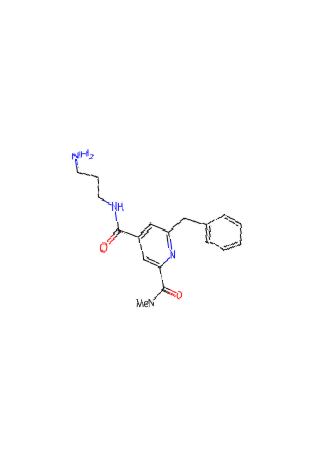 CNC(=O)c1cc(C(=O)NCCCN)cc(Cc2ccccc2)n1